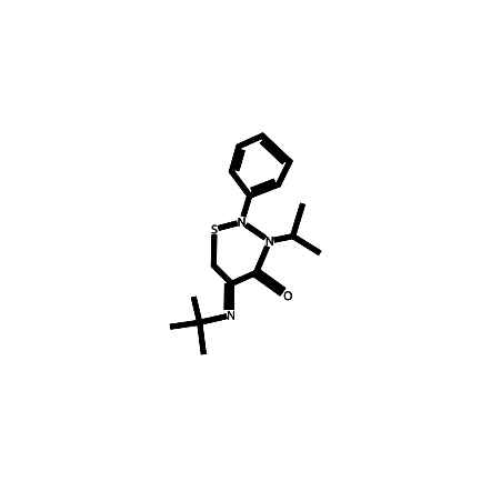 CC(C)N1C(=O)C(=NC(C)(C)C)CSN1c1ccccc1